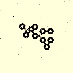 C1=Cc2c(cc3c(c2-c2cccc(N(c4ccc(-c5ccccc5-c5ccccc5)cc4)c4cccc(-c5ccccc5)c4)c2)c2ccccc2n3-c2ccccc2)CC1